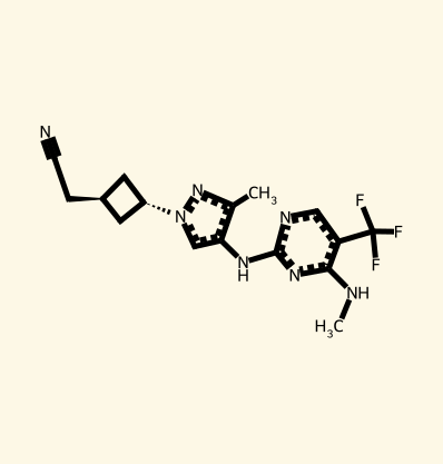 CNc1nc(Nc2cn([C@H]3C[C@H](CC#N)C3)nc2C)ncc1C(F)(F)F